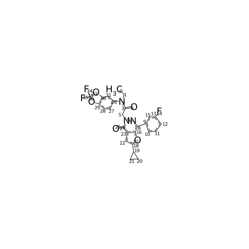 CCN(C(=O)Cn1nc(-c2cccc(F)c2)c2oc(C3CC3)cc2c1=O)c1ccc2c(c1)OC(F)(F)O2